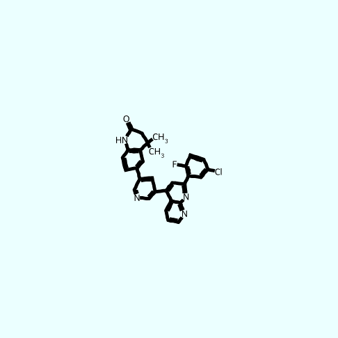 CC1(C)CC(=O)Nc2ccc(-c3cncc(-c4cc(-c5cc(Cl)ccc5F)nc5ncccc45)c3)cc21